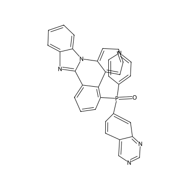 O=P(c1ccncc1)(c1ccc2cncnc2c1)c1cccc2c1c1ccccc1n1c3ccccc3nc21